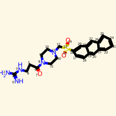 N=C(N)NCCC(=O)N1CCN(CS(=O)(=O)c2ccc3cc4ccccc4cc3c2)CC1